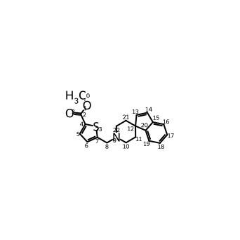 COC(=O)c1ccc(CN2CCC3(C=Cc4ccccc43)CC2)s1